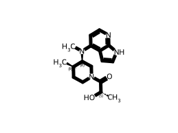 C[C@H](O)C(=O)N1CC[C@@H](C)[C@@H](N(C)c2ccnc3[nH]ccc23)C1